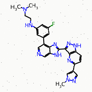 CN(C)CCNc1cc(F)cc(-c2cncc3[nH]c(-c4n[nH]c5ccc(-c6cnn(C)c6)nc45)nc23)c1